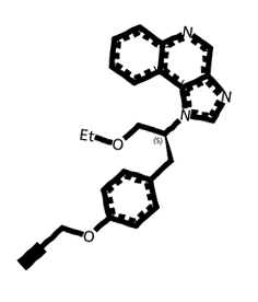 C#CCOc1ccc(C[C@@H](COCC)n2cnc3cnc4ccccc4c32)cc1